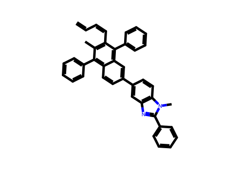 C=C/C=C\c1c(C)c(-c2ccccc2)c2ccc(-c3ccc4c(c3)nc(-c3ccccc3)n4C)cc2c1-c1ccccc1